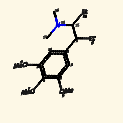 CCC(c1cc(OC)c(OC)c(OC)c1)C(CC)N(C)C